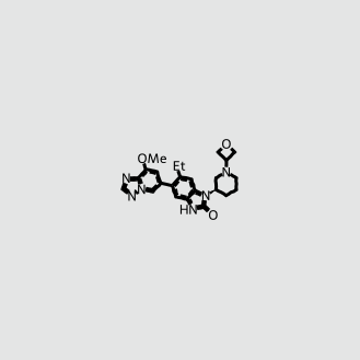 CCc1cc2c(cc1-c1cc(OC)c3ncnn3c1)[nH]c(=O)n2[C@@H]1CCCN(C2COC2)C1